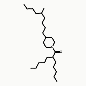 CCCCCC(CCCCC)C(=O)N1CCC(CCCCC(C)CCCC)CC1